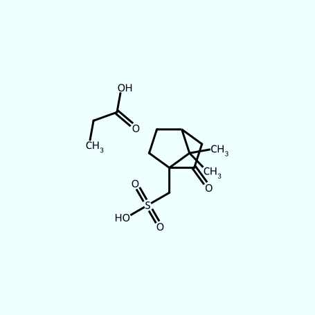 CC1(C)C2CCC1(CS(=O)(=O)O)C(=O)C2.CCC(=O)O